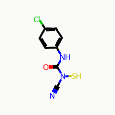 N#CN(S)C(=O)Nc1ccc(Cl)cc1